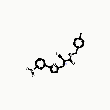 Cc1ccc(CNC(=O)/C(C#N)=C/c2ccc(-c3cccc([N+](=O)[O-])c3)o2)cc1